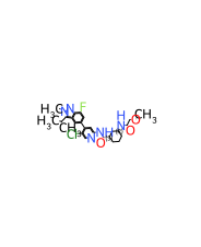 COCC(=O)N[C@@H]1CCC[C@H](C(=O)Nc2cc(-c3cc(F)c4nn(C)c(C(C)C)c4c3)c(Cl)cn2)C1